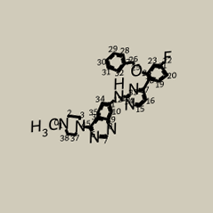 CN1CCN(c2ncnc3cc(Nc4nccc(-c5ccc(F)cc5OCc5ccccc5)n4)ccc23)CC1